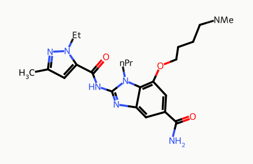 CCCn1c(NC(=O)c2cc(C)nn2CC)nc2cc(C(N)=O)cc(OCCCCNC)c21